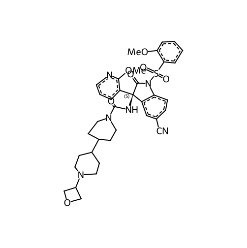 COc1ccccc1S(=O)(=O)N1C(=O)[C@@](NC(=O)N2CCC(C3CCN(C4COC4)CC3)CC2)(c2cccnc2OC)c2cc(C#N)ccc21